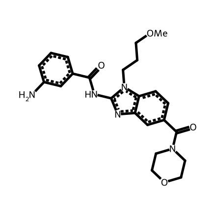 COCCCn1c(NC(=O)c2cccc(N)c2)nc2cc(C(=O)N3CCOCC3)ccc21